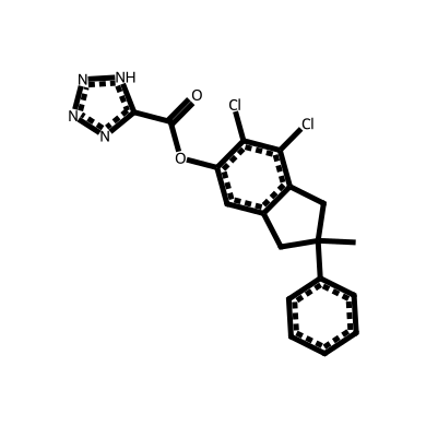 CC1(c2ccccc2)Cc2cc(OC(=O)c3nnn[nH]3)c(Cl)c(Cl)c2C1